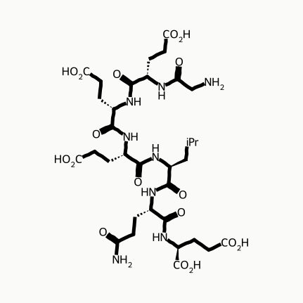 CC(C)C[C@H](NC(=O)[C@H](CCC(=O)O)NC(=O)[C@H](CCC(=O)O)NC(=O)[C@H](CCC(=O)O)NC(=O)CN)C(=O)N[C@@H](CCC(N)=O)C(=O)N[C@@H](CCC(=O)O)C(=O)O